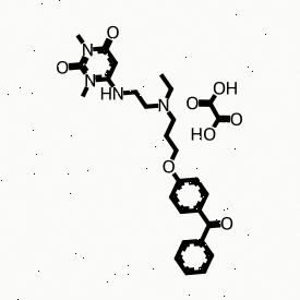 CCN(CCCOc1ccc(C(=O)c2ccccc2)cc1)CCNc1cc(=O)n(C)c(=O)n1C.O=C(O)C(=O)O